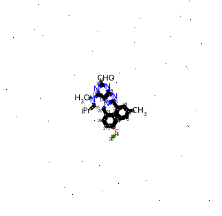 Cc1cccc(-c2nc3nc(C=O)nc(N(C)CC(C)C)c3n2Cc2ccc(SF)cc2)c1